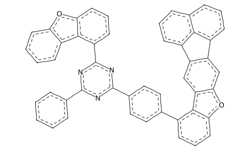 c1ccc(-c2nc(-c3ccc(-c4cccc5oc6cc7c(cc6c45)-c4cccc5cccc-7c45)cc3)nc(-c3cccc4oc5ccccc5c34)n2)cc1